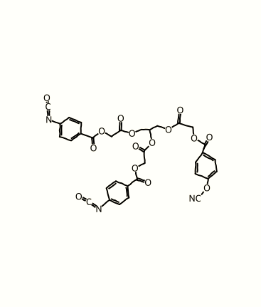 N#COc1ccc(C(=O)OCC(=O)OCC(COC(=O)COC(=O)c2ccc(N=C=O)cc2)OC(=O)COC(=O)c2ccc(N=C=O)cc2)cc1